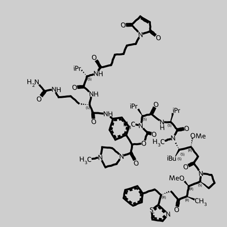 CC[C@H](C)[C@@H]([C@@H](CC(=O)N1CCC[C@H]1[C@H](OC)[C@@H](C)C(=O)C[C@@H](Cc1ccccc1)c1nccs1)OC)N(C)C(=O)[C@@H](NC(=O)[C@H](C(C)C)N(C)C(=O)OC(C(=O)N1CCN(C)CC1)c1ccc(NC(=O)[C@H](CCCNC(N)=O)NC(=O)[C@@H](NC(=O)CCCCCN2C(=O)C=CC2=O)C(C)C)cc1)C(C)C